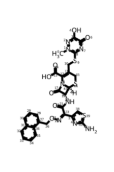 Cn1nc(O)c(=O)nc1SCC1=C(C(=O)O)N2C(=O)[C@@H](NC(=O)C(=NOCc3cccc4ccccc34)c3csc(N)n3)[C@@H]2SC1